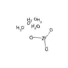 O.O.O.O.[Cl][Zr]([Cl])[Cl]